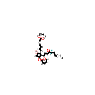 CCCC(F)(F)C(=O)/C=C/C[C@@H]1[C@@H](CCCCCCC(=O)OC)[C@@H](O)C[C@H]1OC1CCCCO1